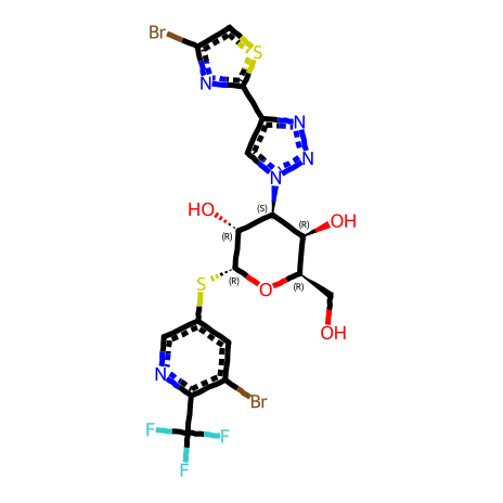 OC[C@H]1O[C@H](Sc2cnc(C(F)(F)F)c(Br)c2)[C@H](O)[C@@H](n2cc(-c3nc(Br)cs3)nn2)[C@H]1O